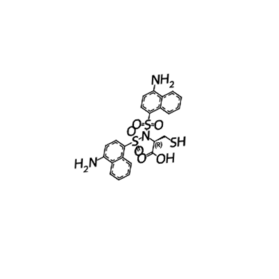 Nc1ccc(S(=O)(=O)N([C@@H](CS)C(=O)O)S(=O)(=O)c2ccc(N)c3ccccc23)c2ccccc12